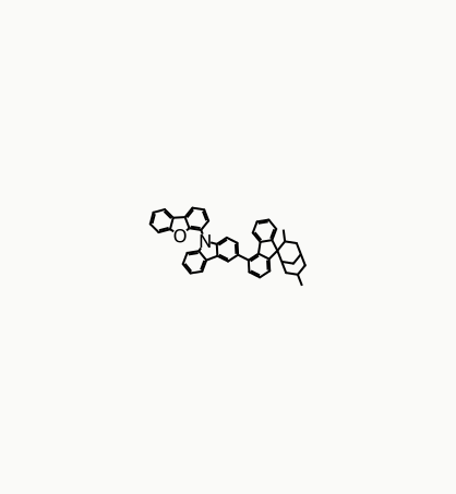 CC1CC2CC(C)C3(c4ccccc4-c4c(-c5ccc6c(c5)c5ccccc5n6-c5cccc6c5oc5ccccc56)cccc43)C(C1)C2